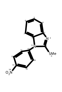 CSc1nc2ccccc2n1-c1ccc([N+](=O)[O-])cc1